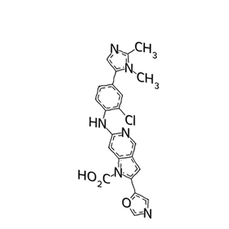 Cc1ncc(-c2ccc(Nc3cc4c(cn3)cc(-c3cnco3)n4C(=O)O)c(Cl)c2)n1C